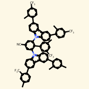 Cc1cc(-c2c(-n3c4ccc(-c5ccc(C(F)(F)F)cc5C)cc4c4cc(-c5ccc(C(F)(F)F)cc5C)ccc43)cc(C#N)cc2-n2c3ccc(-c4ccc(C)cc4C)cc3c3cc(-c4ccc(C)cc4C(F)(F)F)ccc32)cc(C(F)(F)F)c1